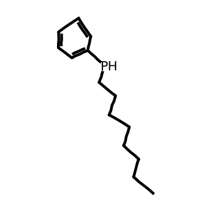 CCCCCCCCPc1ccccc1